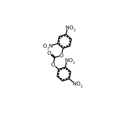 O=C(Oc1ccc([N+](=O)[O-])cc1[N+](=O)[O-])Oc1ccc([N+](=O)[O-])cc1[N+](=O)[O-]